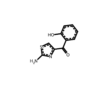 Nc1nc(C(=O)c2ccccc2O)cs1